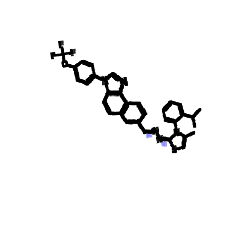 Cc1cs/c(=N/N=C/c2ccc3c(ccc4c3ncn4-c3ccc(OC(F)(F)F)cc3)c2)n1-c1ccccc1C(C)C